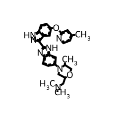 Cc1ccnc(Oc2ccc3[nH]nc(-c4nc5ccc(N6CC(CN(C)C)OCC6C)cc5[nH]4)c3c2)c1